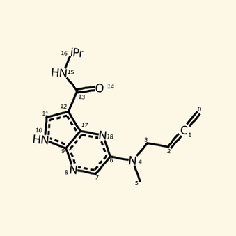 C=C=CCN(C)c1cnc2[nH]cc(C(=O)NC(C)C)c2n1